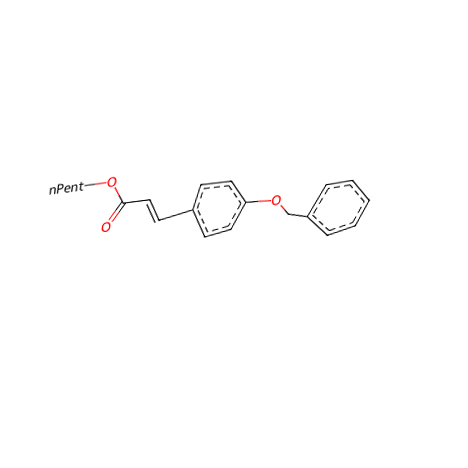 CCCCCOC(=O)/C=C/c1ccc(OCc2ccccc2)cc1